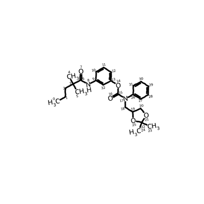 CCCC(C)(C)C(=O)Nc1cccc(OC(=O)N(CC2COC(C)(C)O2)c2ccccc2)c1